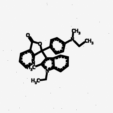 CCN(C)c1ccc(C2(c3c(C)n(CC)c4ccccc34)OC(=O)c3cccnc32)cc1